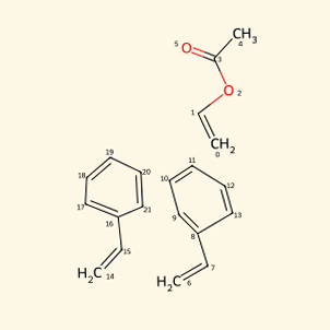 C=COC(C)=O.C=Cc1ccccc1.C=Cc1ccccc1